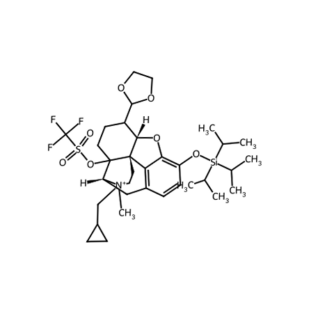 CC(C)[Si](Oc1ccc2c3c1O[C@H]1C(C4OCCO4)CCC4(OS(=O)(=O)C(F)(F)F)[C@@H](C2)[N+](C)(CC2CC2)CC[C@]314)(C(C)C)C(C)C